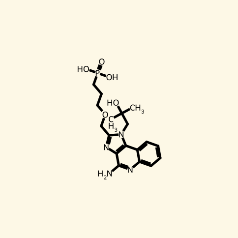 CC(C)(O)Cn1c(COCCCP(=O)(O)O)nc2c(N)nc3ccccc3c21